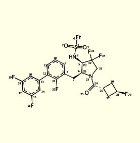 CCS(=O)(=O)N[C@@H]1[C@H](Cc2cccc(-c3cc(F)cc(F)c3)c2F)N(C(=O)[C@H]2C[C@H](F)C2)CC1(F)F